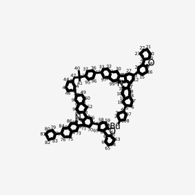 CC(C)(C)c1ccc(-c2ccc3cc4c5cc(-c6ccc7oc8ccccc8c7c6)cc6c7cc8ccc(-c9ccc(C(C)(C)Cc%10cccc(-c%11ccc%12cc%13c%14cc(-c%15ccc%16oc%17ccccc%17c%16c%15)cc%15c%16cc%17ccc(-c%18ccccc%18)cc%17cc%16n(c%13cc%12c%11)c%15%14)c%10)cc9)cc8cc7n(c4cc3c2)c56)cc1